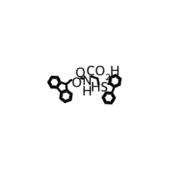 O=C(N[C@@H](CC[SH]1c2ccccc2-c2ccccc21)C(=O)O)OCC1c2ccccc2-c2ccccc21